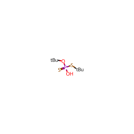 CC(C)(C)OP(O)(=S)SC(C)(C)C